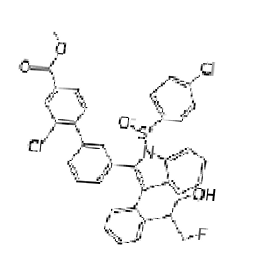 COC(=O)c1ccc(-c2cccc(-c3c(-c4ccccc4C(CO)CF)c4ccccc4n3[S+]([O-])c3ccc(Cl)cc3)c2)c(Cl)c1